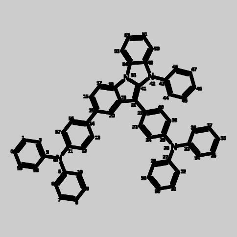 c1ccc(N(c2ccccc2)c2ccc(-c3ccc4c(c3)c(-c3ccc(N(c5ccccc5)c5ccccc5)cc3)c3n(-c5ccccc5)c5ccccc5n43)cc2)cc1